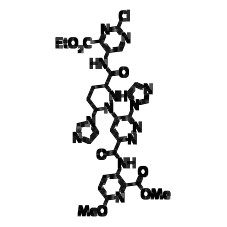 CCOC(=O)c1nc(Cl)ncc1NC(=O)C1CCC(n2ccnc2)N(c2cc(C(=O)Nc3ccc(OC)nc3C(=O)OC)nnc2-n2ccnc2)N1